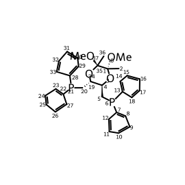 CO[C@]1(C)O[C@@H](CP(c2ccccc2)c2ccccc2)[C@H](CP(c2ccccc2)c2ccccc2)O[C@@]1(C)OC